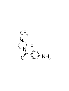 Nc1ccc(C(=O)N2CCN(CC(F)(F)F)CC2)c(F)c1